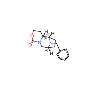 O=C1OCC[C@@H]2[C@@H]3CC[C@H](CN12)N3Cc1ccccc1